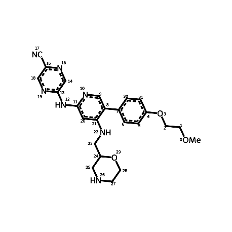 COCCOc1ccc(-c2cnc(Nc3cnc(C#N)cn3)cc2NCC2CNCCO2)cc1